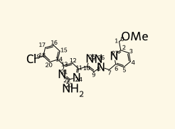 COCc1cccc(Cn2cc(-c3cc(-c4cccc(Cl)c4)nc(N)n3)nn2)n1